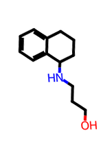 OCCCNC1CCCc2ccccc21